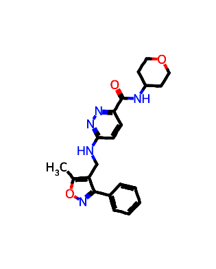 Cc1onc(-c2ccccc2)c1CNc1ccc(C(=O)NC2CCOCC2)nn1